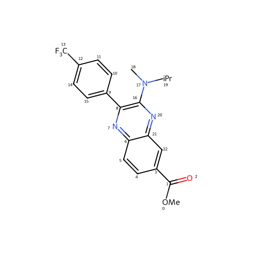 COC(=O)c1ccc2nc(-c3ccc(C(F)(F)F)cc3)c(N(C)C(C)C)nc2c1